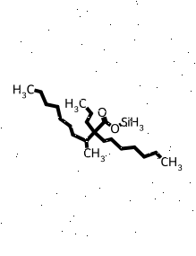 CCCCCCCC(C)C(CCC)(CCCCCCC)C(=O)O[SiH3]